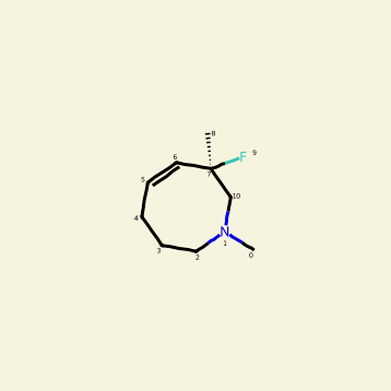 CN1CCC/C=C\[C@@](C)(F)C1